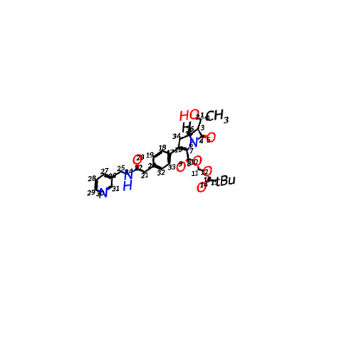 C[C@@H](O)[C@H]1C(=O)N2C(C(=O)OCOC(=O)C(C)(C)C)=C(c3ccc(CC(=O)NCc4cccnc4)cc3)C[C@H]12